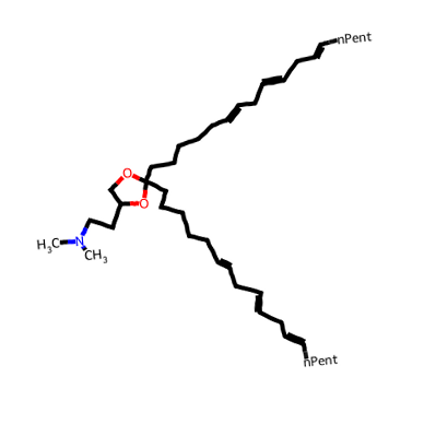 CCCCC/C=C/C/C=C/C/C=C/CCCCCC1(CCCCC/C=C/C/C=C/C/C=C/CCCCC)OCC(CCN(C)C)O1